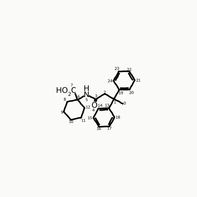 CC(CC(=O)NC1(C(=O)O)CCCCC1)(c1ccccc1)c1ccccc1